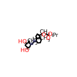 C=C1/C(=C\C=C2/CCC[C@]3(C)C(C(C)OCC(=O)OC(C)C)=CC[C@@H]23)C[C@@H](O)C[C@@H]1O